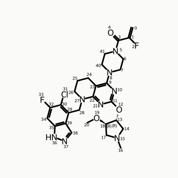 C=C(F)C(=O)N1CCN(c2nc(O[C@@H]3CN(C)C[C@H]3OC)nc3c2CCCN3Cc2c(Cl)c(F)cc3[nH]ncc23)CC1